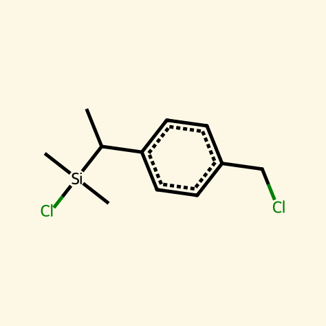 CC(c1ccc(CCl)cc1)[Si](C)(C)Cl